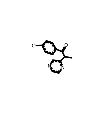 CC(C(=O)c1ccc(Cl)cc1)c1cnccn1